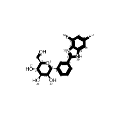 OC[C@H]1O[C@H](c2cccc(-c3nc4c(F)cc(F)cc4[nH]3)c2)[C@@H](O)[C@@H](O)[C@@H]1O